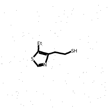 CCc1scnc1CCS